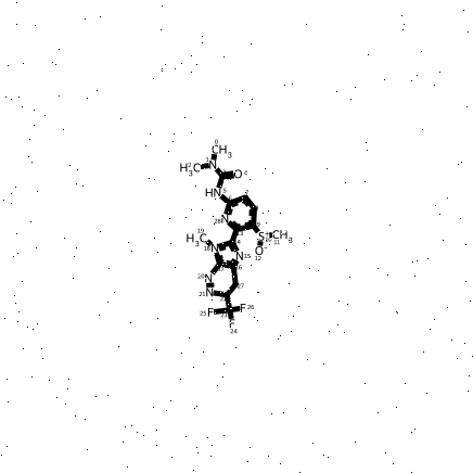 CN(C)C(=O)Nc1ccc([S+](C)[O-])c(-c2nc3c(n2C)N=NC(C(F)(F)F)C3)n1